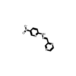 O=[N+]([O-])c1ccc(NN=Cc2cnccn2)nc1